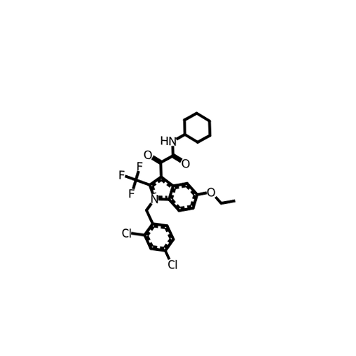 CCOc1ccc2c(c1)c(C(=O)C(=O)NC1CCCCC1)c(C(F)(F)F)n2Cc1ccc(Cl)cc1Cl